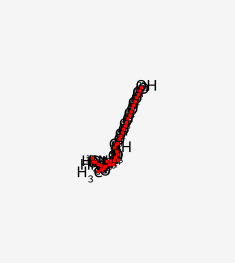 CCCN(OCCNC(=O)OC1CCC1)C(=O)C1=Cc2ccc(-c3cccc(S(=O)(=O)N4CC(CNC(=O)CCOCCOCCOCCOCCOCCOCCOCCOCCOCCOCCC(=O)O)C4)c3)cc2N=C(N)C1